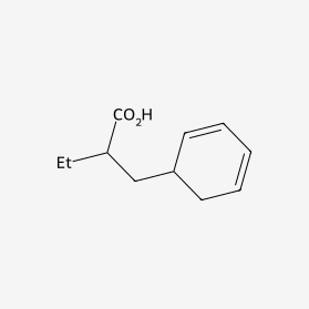 CCC(CC1C=CC=CC1)C(=O)O